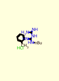 CCCCNC(=N)NC(=N)N.Cc1ccccc1.Cl